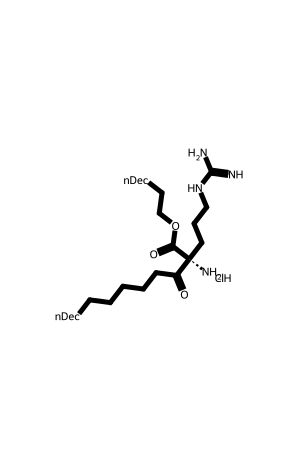 CCCCCCCCCCCCCCCC(=O)[C@](N)(CCCNC(=N)N)C(=O)OCCCCCCCCCCCC.Cl